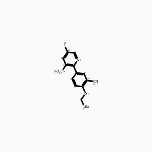 CC(C)(C)COc1ccc(-c2ncc(F)cc2C(=O)O)cc1C#N